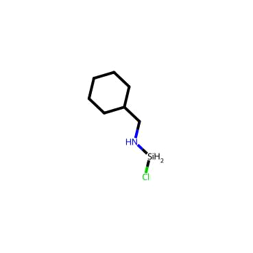 Cl[SiH2]NCC1CCCCC1